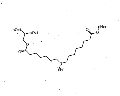 CCCCCCCCCOC(=O)CCCCCCCN(CCC)CCCCCCC(=O)OCC(CCCCCCCC)CCCCCCCC